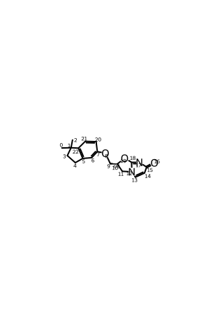 CC1(C)CCc2cc(OC[C@@H]3Cn4ccc(=O)nc4O3)ccc21